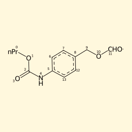 CCCOC(=O)Nc1ccc(CO[C]=O)cc1